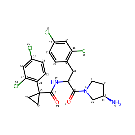 N[C@@H]1CCN(C(=O)C(Cc2ccc(Cl)cc2Cl)NC(=O)C2(c3ccc(Cl)cc3Cl)CC2)C1